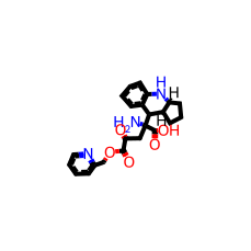 NC(CC(=O)C(=O)OCc1ccccn1)(C(=O)O)C1c2ccccc2N[C@@H]2CCC[C@H]12